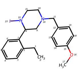 CCc1ccccc1C1CN(Cc2ccc(OC)cc2)CCN1I